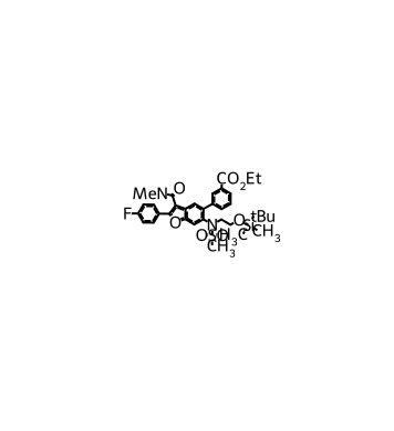 CCOC(=O)c1cccc(-c2cc3c(C(=O)NC)c(-c4ccc(F)cc4)oc3cc2N(CCO[Si](C)(C)C(C)(C)C)S(C)(=O)=O)c1